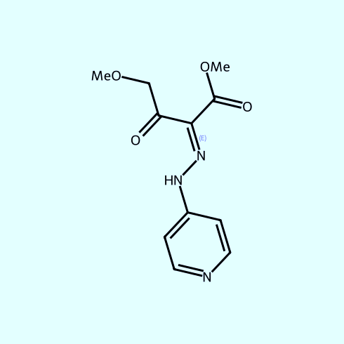 COCC(=O)/C(=N\Nc1ccncc1)C(=O)OC